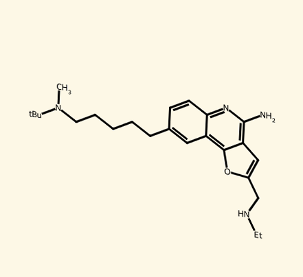 CCNCc1cc2c(N)nc3ccc(CCCCCN(C)C(C)(C)C)cc3c2o1